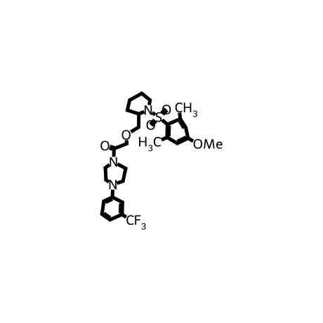 COc1cc(C)c(S(=O)(=O)N2CCCCC2COCC(=O)N2CCN(c3cccc(C(F)(F)F)c3)CC2)c(C)c1